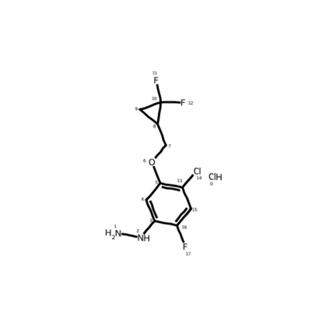 Cl.NNc1cc(OCC2CC2(F)F)c(Cl)cc1F